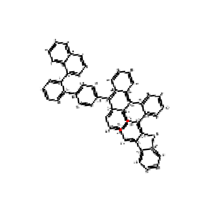 c1ccc(-c2cccc3ccccc23)c(-c2ccc(-c3c4ccccc4c(-c4ccccc4-c4cccc5c4oc4ccccc45)c4ccccc34)cc2)c1